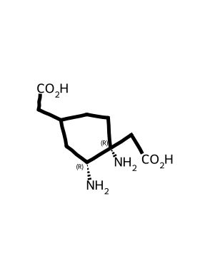 N[C@@H]1CC(CC(=O)O)CC[C@@]1(N)CC(=O)O